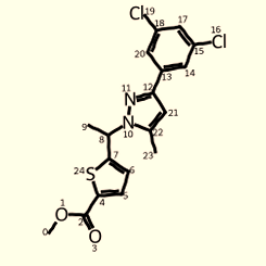 COC(=O)c1ccc(C(C)n2nc(-c3cc(Cl)cc(Cl)c3)cc2C)s1